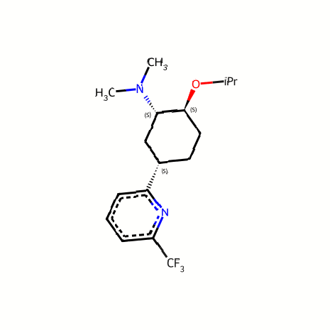 CC(C)O[C@H]1CC[C@H](c2cccc(C(F)(F)F)n2)C[C@@H]1N(C)C